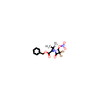 CC1(C)C(C(=O)OCc2ccccc2)[N+]12C(=O)C(Br)(Br)C2O[N+](=O)[O-]